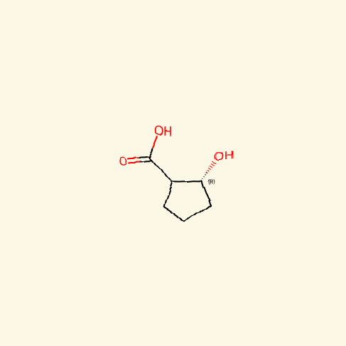 O=C(O)C1CCC[C@H]1O